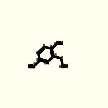 CC(C)(C)c1ccc(O)c(CO)n1